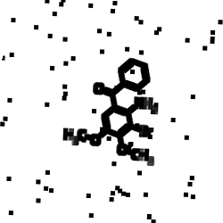 COc1cc(C(=O)c2ccccc2)c(N)c(Br)c1OC